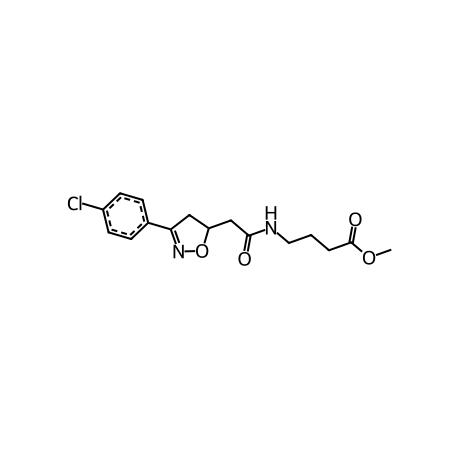 COC(=O)CCCNC(=O)CC1CC(c2ccc(Cl)cc2)=NO1